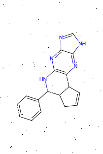 C1=CC2c3nc4[nH]cnc4nc3NC(c3ccccc3)C2C1